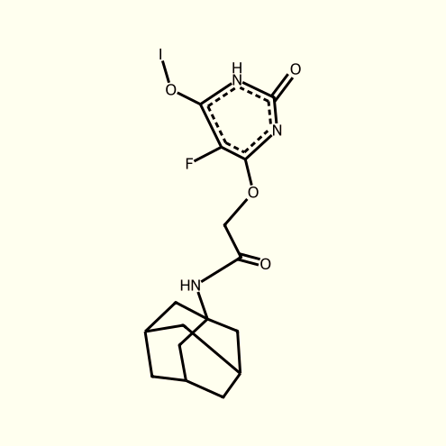 O=C(COc1nc(=O)[nH]c(OI)c1F)NC12CC3CC(CC(C3)C1)C2